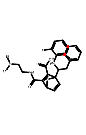 CCN(CC)CCNC(=O)C1=C(C(=O)OC)C2(C(Cc3ccccc3)Nc3c(F)cccc3F)C=CC1O2